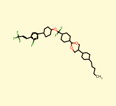 CCCCCC1CCC(C2COC(C3CCC(C(F)(F)OC4CCC(c5ccc(/C=C/C(F)(F)F)c(F)c5)CC4)CC3)OC2)CC1